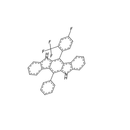 Fc1ccc(-c2c3[nH]c4ccccc4c3c(-c3ccccc3)c3[nH]c4ccccc4c23)c(C(F)(F)F)c1